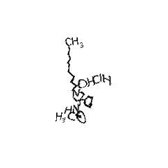 CCCCCCCCCCC(O)CN1CCC(CNC(C)=O)(c2ccccc2)CC1.Cl